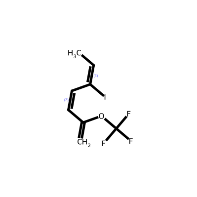 C=C(/C=C\C(I)=C/C)OC(F)(F)F